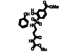 COC(=O)c1ccc(S(=O)(=O)NCCC(=O)NC(=O)OC(C)(C)C)c(O)c1.Oc1ccccc1